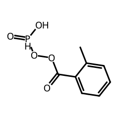 Cc1ccccc1C(=O)OO[PH](=O)O